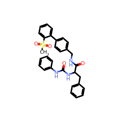 CS(=O)(=O)c1ccccc1-c1ccc(CNC(=O)C(Cc2ccccc2)NC(=O)Nc2ccccc2)cc1